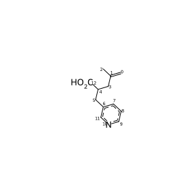 C=C(C)CC(Cc1cccnc1)C(=O)O